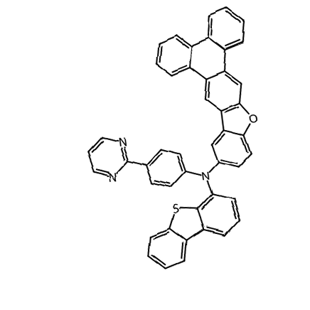 c1cnc(-c2ccc(N(c3ccc4oc5cc6c7ccccc7c7ccccc7c6cc5c4c3)c3cccc4c3sc3ccccc34)cc2)nc1